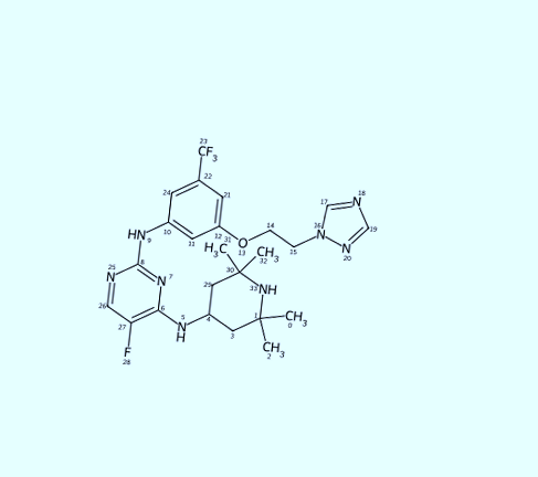 CC1(C)CC(Nc2nc(Nc3cc(OCCn4cncn4)cc(C(F)(F)F)c3)ncc2F)CC(C)(C)N1